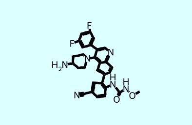 CONC(=O)Nc1ccc(C#N)cc1-c1ccc2ncc(-c3cc(F)cc(F)c3)c(N3CCC(N)CC3)c2c1